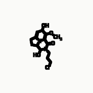 COC1=C2C(=O)N(CCCCl)C(O)C3CCC(=CC1O)N23